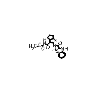 CCOC(=O)NC(=O)c1c(NC(=O)C2Nc3ccccc3S2)sc2c1CCC2